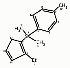 CCC1=C([Si](C)(C)c2ccc(C)cc2)CC=C1